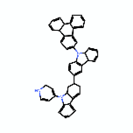 C1=CC2c3ccccc3-c3cc(N4c5ccc(C6CC=C7c8ccccc8N(C8=CCNC=C8)C7C6)cc5C5C=CC=CC54)ccc3C2C=C1